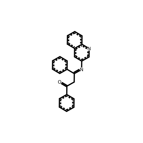 O=C(CC(=Nc1cnc2ccccc2c1)c1ccccc1)c1ccccc1